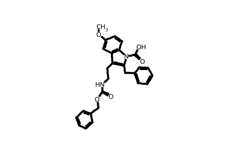 COc1ccc2c(c1)c(CCNC(=O)OCc1ccccc1)c(Cc1ccccc1)n2C(=O)O